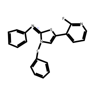 Fc1ncccc1-c1cn(Cc2ccccc2)/c(=N\c2ccccc2)s1